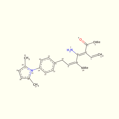 C=C/C(C(=O)OC)=C(N)\C(=C/Cc1ccc(-n2c(C)ccc2C)cc1)NC